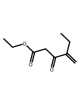 C=C(CC)C(=O)CC(=O)OCC